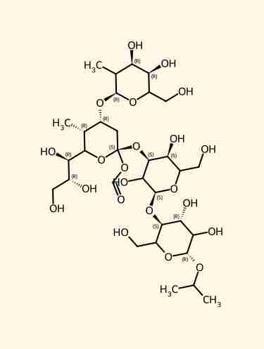 CC(C)O[C@@H]1OC(CO)[C@@H](O[C@@H]2OC(CO)[C@H](O)[C@H](O[C@]3(OC=O)C[C@@H](O[C@@H]4OC(CO)[C@H](O)[C@H](O)C4C)[C@@H](C)C([C@H](O)[C@H](O)CO)O3)C2O)[C@H](O)C1O